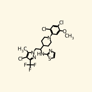 COc1cc(N2CCC(C(Cn3nc(C(F)(F)F)c(Cl)c3C)Nc3nccs3)CC2)c(Cl)cc1Cl